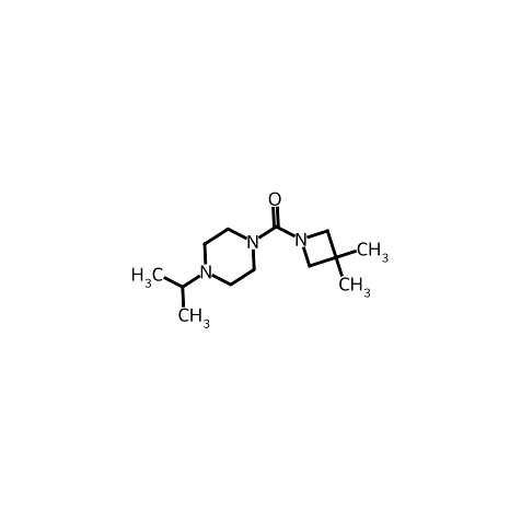 CC(C)N1CCN(C(=O)N2CC(C)(C)C2)CC1